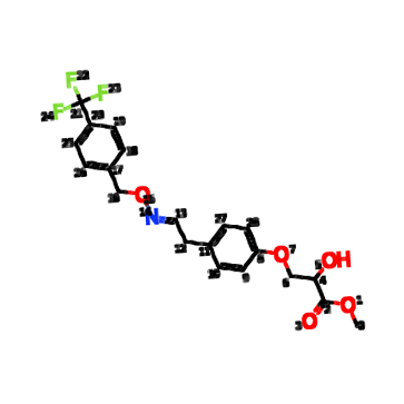 COC(=O)C(O)COc1ccc(CC=NOCc2ccc(C(F)(F)F)cc2)cc1